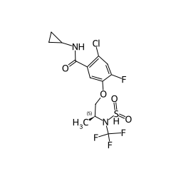 C[C@@H](COc1cc(C(=O)NC2CC2)c(Cl)cc1F)N([SH](=O)=O)C(F)(F)F